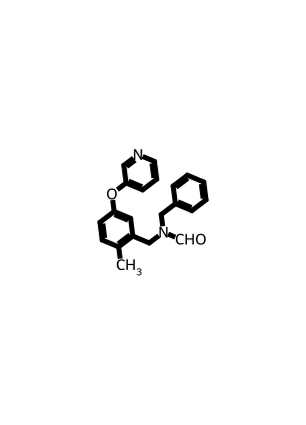 Cc1ccc(Oc2cccnc2)cc1CN(C=O)Cc1ccccc1